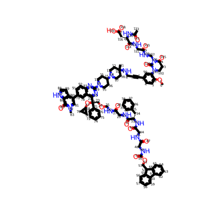 COc1ccc(C#CCNC2(C)CCN(C3CCN(c4nc([C@@](COCNC(=O)CNC(=O)[C@H](Cc5ccccc5)NC(=O)CNC(=O)CNC(=O)OCC5c6ccccc6-c6ccccc65)(OC5CC5)c5ccccc5)c5cc(-c6cn(C)c(=O)c7[nH]ccc67)ccc5n4)CC3)CC2)cc1N1CCC(=O)N(CNC(=O)CNC(=O)[C@H](CC(=O)O)NC(C)=O)C1=O